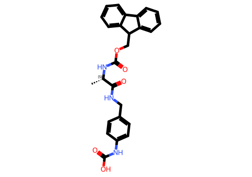 C[C@H](NC(=O)OCC1c2ccccc2-c2ccccc21)C(=O)NCc1ccc(NC(=O)O)cc1